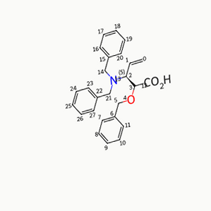 C=C[C@@H](C(OCc1ccccc1)C(=O)O)N(Cc1ccccc1)Cc1ccccc1